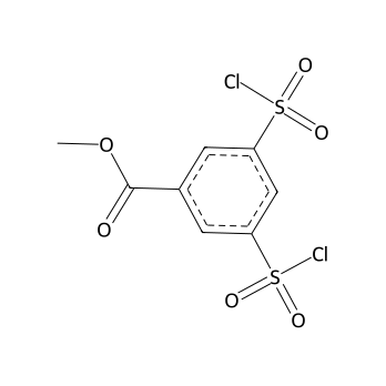 COC(=O)c1cc(S(=O)(=O)Cl)cc(S(=O)(=O)Cl)c1